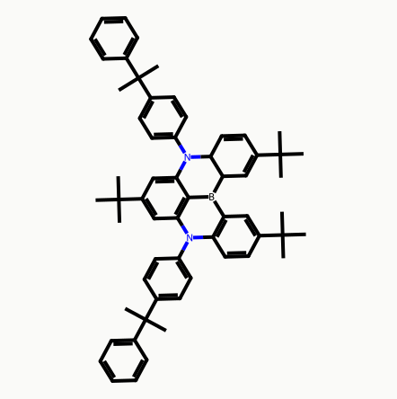 CC(C)(C)C1=CC2B3c4cc(C(C)(C)C)ccc4N(c4ccc(C(C)(C)c5ccccc5)cc4)c4cc(C(C)(C)C)cc(c43)N(c3ccc(C(C)(C)c4ccccc4)cc3)C2C=C1